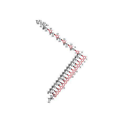 CC(C)[O-].CC(C)[O-].CC(C)[O-].CC(C)[O-].CC(C)[O-].CC(C)[O-].CC(C)[O-].CC(C)[O-].CC(C)[O-].CC(C)[O-].CC(C)[O-].CC(C)[O-].CC(C)[O-].CC(C)[O-].CC(C)[O-].CC(C)[O-].CC(C)[O-].CC(C)[O-].CC(C)[O-].CC(C)[O-].[Ti+4].[Ti+4].[Ti+4].[Ti+4].[Ti+4]